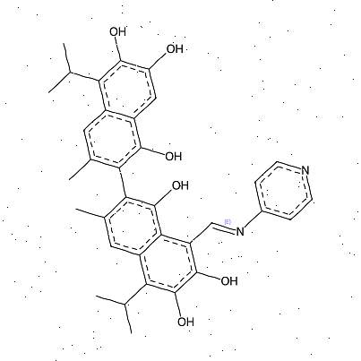 Cc1cc2c(C(C)C)c(O)c(O)cc2c(O)c1-c1c(C)cc2c(C(C)C)c(O)c(O)c(/C=N/c3ccncc3)c2c1O